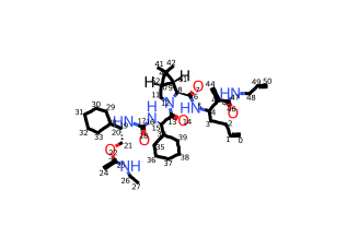 C=CCCC(NC(=O)[C@@H]1[C@@H]2[C@H](CN1C(=O)[C@@H](NC(=O)N[C@H](COC(=C)NCC)C1CCCCC1)C1CCCCC1)C2(C)C)C(=C)C(=O)NCC=C